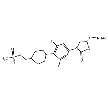 CC(=O)NC[C@H]1CN(c2cc(F)c(N3CCC(COS(C)(=O)=O)CC3)c(F)c2)C(=O)O1